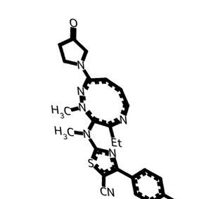 CCc1ncccc(N2CCC(=O)C2)nn(C)c1N(C)c1nc(-c2ccc(F)cc2)c(C#N)s1